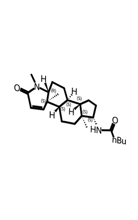 CCCCC(=O)N[C@H]1CC[C@H]2[C@@H]3CC[C@H]4N(C)C(=O)C=C[C@]4(C)[C@H]3CC[C@]12C